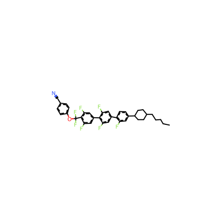 CCCCCC1CCC(c2ccc(-c3cc(F)c(-c4cc(F)c(C(F)(F)Oc5ccc(C#N)cc5)c(F)c4)c(F)c3)c(F)c2)CC1